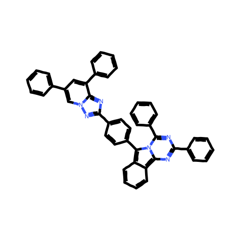 c1ccc(-c2cc(-c3ccccc3)c3nc(-c4ccc(-c5c6ccccc6c6nc(-c7ccccc7)nc(-c7ccccc7)n56)cc4)nn3c2)cc1